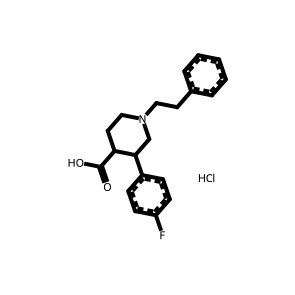 Cl.O=C(O)C1CCN(CCc2ccccc2)CC1c1ccc(F)cc1